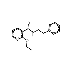 CCOc1ncccc1C(=O)NCCc1ccccc1